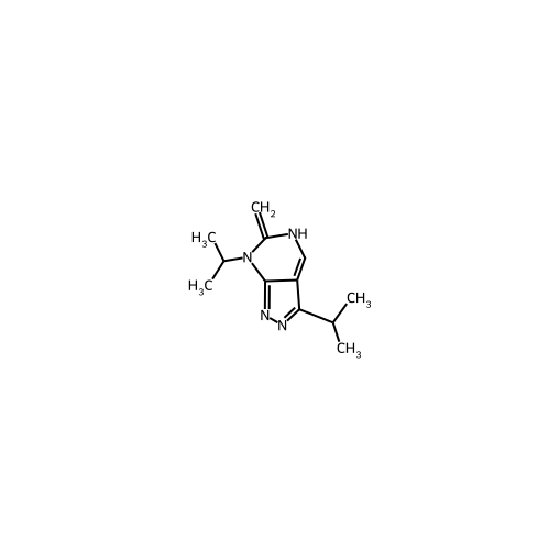 C=C1NC=C2C(C(C)C)=NN=C2N1C(C)C